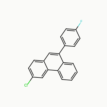 Fc1ccc(-c2cc3ccc(Cl)cc3c3ccccc23)cc1